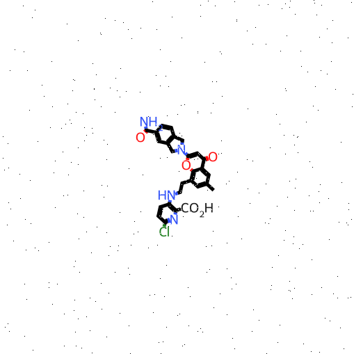 Cc1cc(CCNc2ccc(Cl)nc2C(=O)O)c2oc(N3Cc4ccc(C(N)=O)cc4C3)cc(=O)c2c1